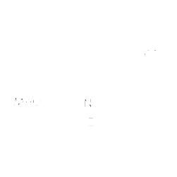 [CH2]CN1c2ccc(C(F)(F)F)cc2CCC1COC